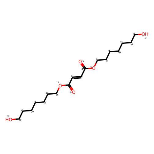 O=C(/C=C/C(=O)OCCCCCCCO)OCCCCCCCO